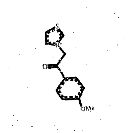 COc1ccc(C(=O)C[n+]2ccsc2)cc1